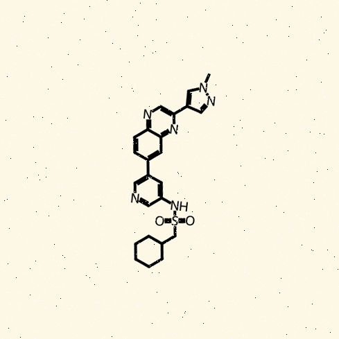 Cn1cc(-c2cnc3ccc(-c4cncc(NS(=O)(=O)CC5CCCCC5)c4)cc3n2)cn1